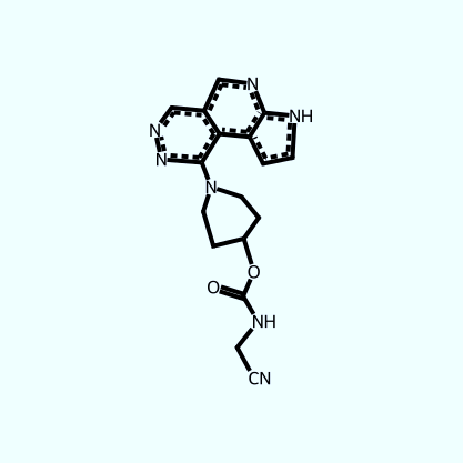 N#CCNC(=O)OC1CCN(c2nncc3cnc4[nH]ccc4c23)CC1